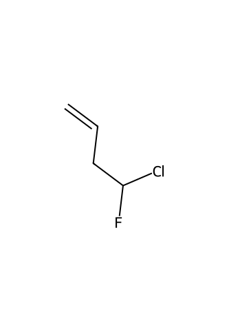 C=CCC(F)Cl